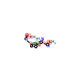 CCOC(=O)C1(CO)CCN(CCCOc2cccc(-c3cccc(COc4cc(OCc5cncc(S(C)(=O)=O)c5)c(CN)cc4Cl)c3C)c2C)C1